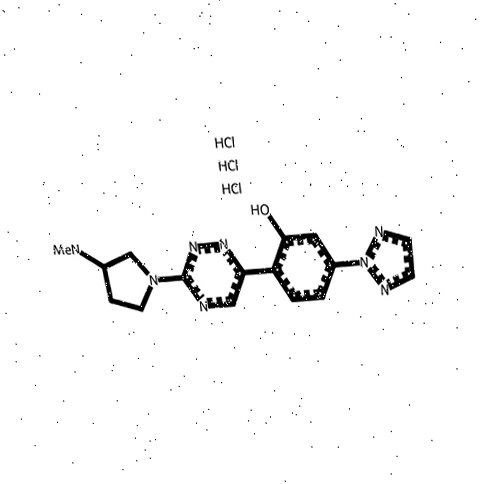 CNC1CCN(c2ncc(-c3ccc(-n4nccn4)cc3O)nn2)C1.Cl.Cl.Cl